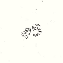 COc1cc(C(=O)N2C[C@H](N)CCN2C)cc2nc(-c3cc4ccc([C@@H](C)NC(=O)[C@H](C)c5ccccc5)nc4n3CC3CC3)n(C)c12